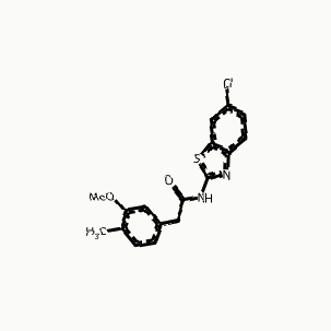 COc1cc(CC(=O)Nc2nc3ccc(Cl)cc3s2)ccc1C